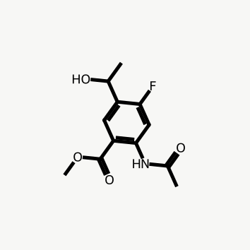 COC(=O)c1cc(C(C)O)c(F)cc1NC(C)=O